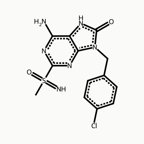 CS(=N)(=O)c1nc(N)c2[nH]c(=O)n(Cc3ccc(Cl)cc3)c2n1